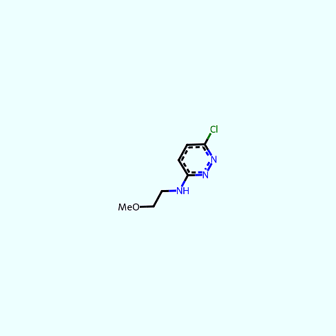 COCCNc1ccc(Cl)nn1